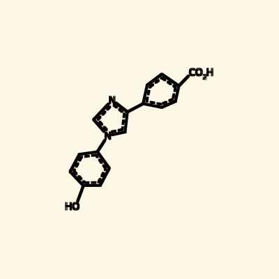 O=C(O)c1ccc(-c2cn(-c3ccc(O)cc3)cn2)cc1